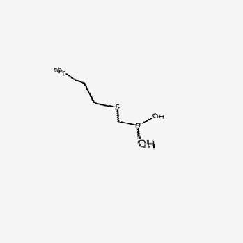 CCCCCSCB(O)O